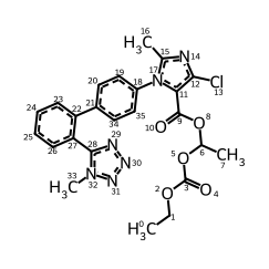 CCOC(=O)OC(C)OC(=O)c1c(Cl)nc(C)n1-c1ccc(-c2ccccc2-c2nnnn2C)cc1